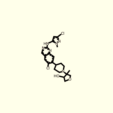 Cn1nc(Cl)cc1Nc1ncc2cc(Cl)c(C3CCN(C4(C)COCC4O)CC3)cc2n1